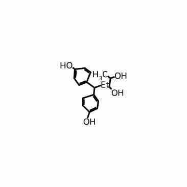 CC(O)CO.CCC(c1ccc(O)cc1)c1ccc(O)cc1